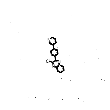 Clc1nc2ccccc2nc1-c1ccc(-c2cccnc2)cc1